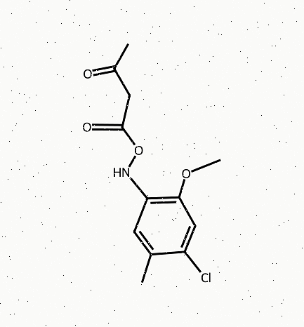 COc1cc(Cl)c(C)cc1NOC(=O)CC(C)=O